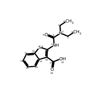 CCN(CC)C(=O)Nc1sc2ccccc2c1C(=O)O